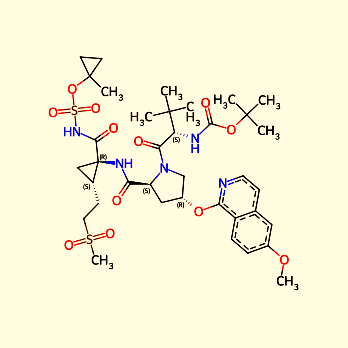 COc1ccc2c(O[C@@H]3C[C@@H](C(=O)N[C@]4(C(=O)NS(=O)(=O)OC5(C)CC5)C[C@H]4CCS(C)(=O)=O)N(C(=O)[C@@H](NC(=O)OC(C)(C)C)C(C)(C)C)C3)nccc2c1